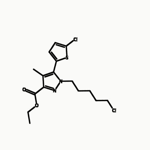 CCOC(=O)c1nn(CCCCCCl)c(-c2ccc(Cl)s2)c1C